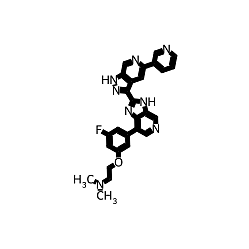 CN(C)CCOc1cc(F)cc(-c2cncc3[nH]c(-c4n[nH]c5cnc(-c6cccnc6)cc45)nc23)c1